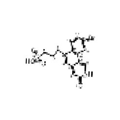 O=c1cc2cc(CCCS(=O)(=O)O)c3ccc(Br)cc3c2c[nH]1